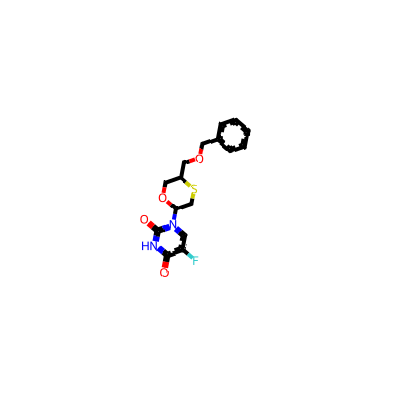 O=c1[nH]c(=O)n(C2CSC(COCc3ccccc3)CO2)cc1F